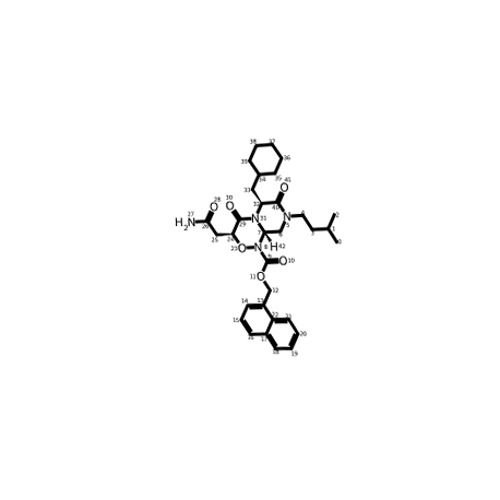 CC(C)CCN1C[C@@H]2N(C(=O)OCc3cccc4ccccc34)O[C@@H](CC(N)=O)C(=O)N2[C@@H](CC2CCCCC2)C1=O